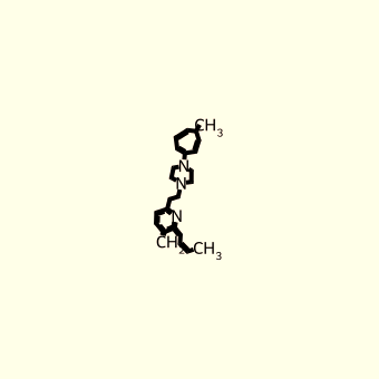 C=c1ccc(CCN2CCN(C3=CC=CC(C)C=C3)CC2)n/c1=C/C=C\C